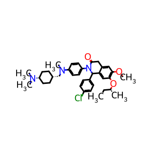 CC[C@@H](C)Oc1cc2c(cc1OC)CC(=O)N(c1ccc(N(C)C[C@H]3CC[C@@H](N(C)C)CC3)cc1)C2c1ccc(Cl)cc1